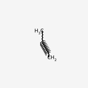 C=CCC(F)(F)C(F)(F)C(F)(F)C(F)(F)C(F)(F)C(F)(F)C(F)(F)C(F)(F)CCCCCCCCC